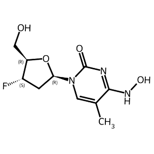 Cc1cn([C@H]2C[C@H](F)[C@@H](CO)O2)c(=O)nc1NO